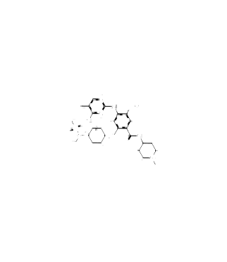 COc1cc(C(=O)NC2CCN(C)CC2)c(C)cc1Nc1ncc(Cl)c(N[C@@H]2CCCC[C@H]2N(C)S(C)(=O)=O)n1